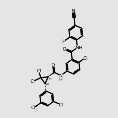 N#Cc1ccc(NC(=O)c2cc(NC(=O)[C@H]3[C@H](c4cc(Cl)cc(Cl)c4)C3(Cl)Cl)ccc2Cl)c(F)c1